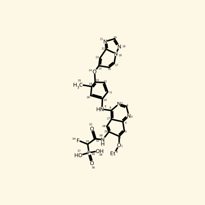 CCOc1cc2ncnc(Nc3ccc(Oc4ccn5ncnc5c4)c(C)c3)c2cc1NC(=O)C(F)P(=O)(O)O